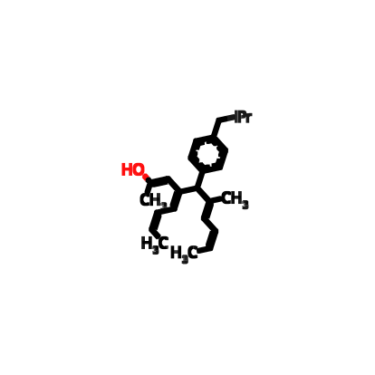 C\C=C/C=C(\C=C(/C)O)C(/C(C)=C/C=C\C)c1ccc(CC(C)C)cc1